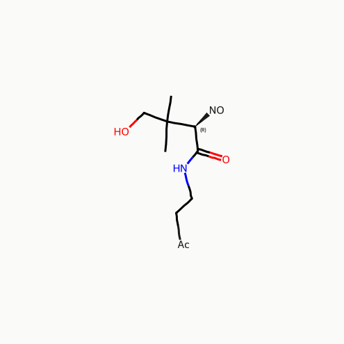 CC(=O)CCNC(=O)[C@H](N=O)C(C)(C)CO